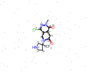 Cn1nc(Cl)c2cn(C3(C(F)(F)F)CCNC3)c(=O)cc2c1=O